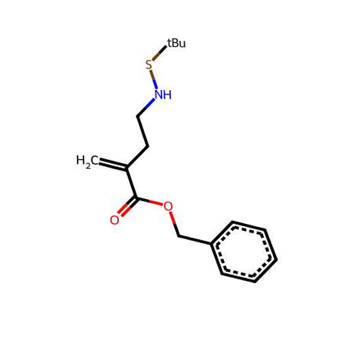 C=C(CCNSC(C)(C)C)C(=O)OCc1ccccc1